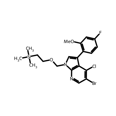 COc1cc(F)ccc1-c1cn(COCC[Si](C)(C)C)c2ncc(Br)c(Cl)c12